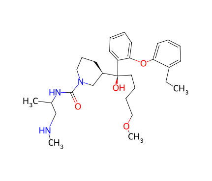 CCc1ccccc1Oc1ccccc1[C@](O)(CCCCOC)[C@@H]1CCCN(C(=O)NC(C)CNC)C1